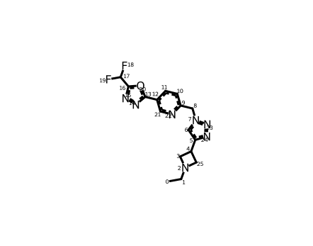 CCN1CC(c2cn(Cc3ccc(-c4nnc(C(F)F)o4)cn3)nn2)C1